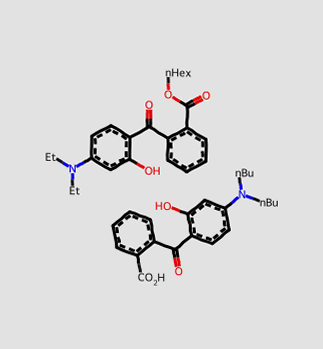 CCCCCCOC(=O)c1ccccc1C(=O)c1ccc(N(CC)CC)cc1O.CCCCN(CCCC)c1ccc(C(=O)c2ccccc2C(=O)O)c(O)c1